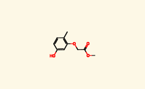 COC(=O)COc1cc(O)ccc1C